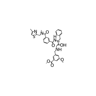 COC(=O)c1cc(CNC[C@@H](O)[C@H](Cc2ccccc2)NC(=O)c2cccc(C(=O)N(C)Cc3nc(C)cs3)c2)cc(OC)c1